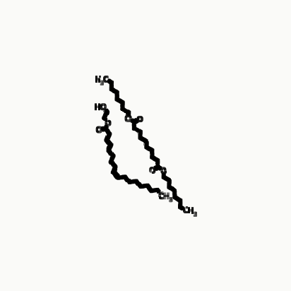 CCCCCCCC/C=C\CCCCCCCC(=O)OCCO.CCCCCCCCOC(=O)CCCCCCCCC(=O)OCCCCCCCC